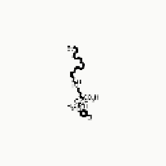 CC/C=C\C/C=C\C/C=C\C/C=C\C/C=C\C/C=C\CCC(=O)NCCCCC(NC(=O)C(C)(C)Oc1ccc(Cl)cc1)C(=O)O